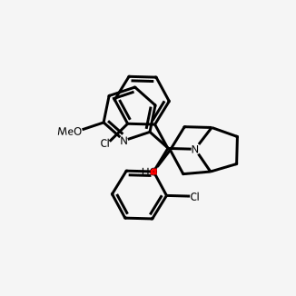 COc1cccc(C2(O)CC3CCC(C2)N3C(c2ccccc2Cl)c2ccccc2Cl)n1